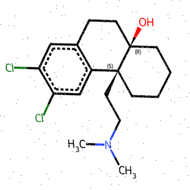 CN(C)CC[C@]12CCCC[C@@]1(O)CCc1cc(Cl)c(Cl)cc12